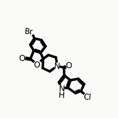 O=C1OC2(CCN(C(=O)c3c[nH]c4cc(Cl)ccc34)CC2)c2ccc(Br)cc21